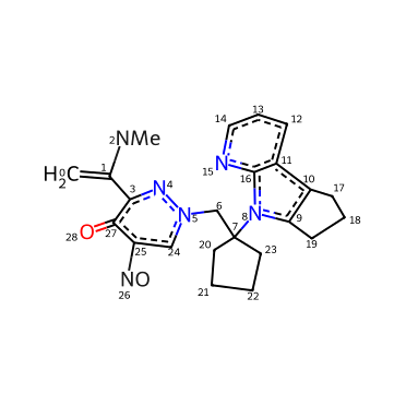 C=C(NC)c1nn(CC2(n3c4c(c5cccnc53)CCC4)CCCC2)cc(N=O)c1=O